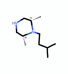 CC(C)CCN1[C@H](C)CNC[C@@H]1C